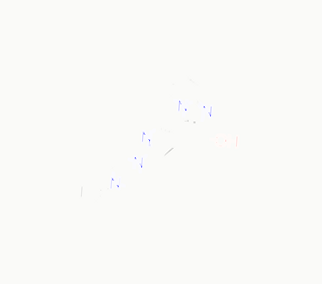 CN1CCN(c2ccc(-c3c(CO)nc4ccccn34)cn2)CC1